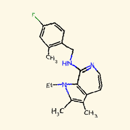 CCn1c(C)c(C)c2ccnc(NCc3ccc(F)cc3C)c21